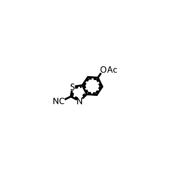 CC(=O)Oc1ccc2nc(C#N)sc2c1